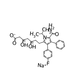 CC(C)n1c(CC[C@@H](O)C[C@@H](O)CC(=O)[O-])c(-c2ccc(F)cc2)c(-c2ccccc2)c1C(N)=O.[Na+]